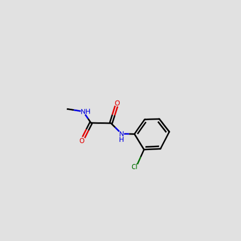 CNC(=O)C(=O)Nc1ccccc1Cl